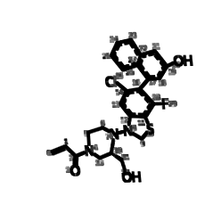 C=CC(=O)N1CCN(N2CSc3c2cc(Cl)c(-c2cc(O)cc4ccccc24)c3F)[C@@H](CO)C1